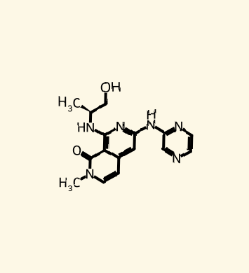 C[C@@H](CO)Nc1nc(Nc2cnccn2)cc2ccn(C)c(=O)c12